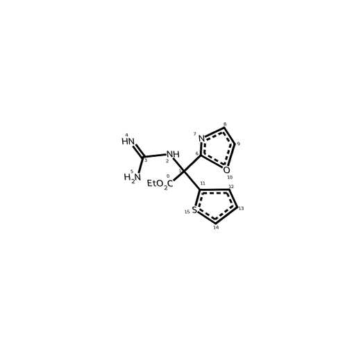 CCOC(=O)C(NC(=N)N)(c1ncco1)c1cccs1